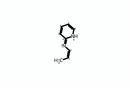 C/C=C\N=c1\cccc[nH]1